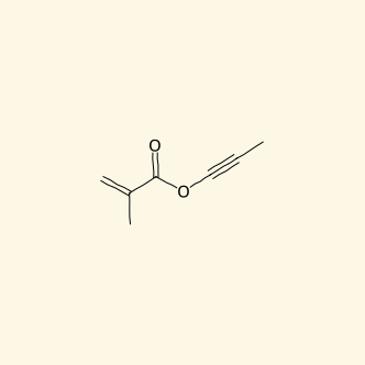 C=C(C)C(=O)OC#CC